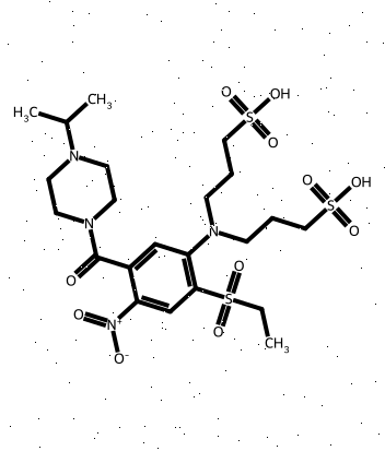 CCS(=O)(=O)c1cc([N+](=O)[O-])c(C(=O)N2CCN(C(C)C)CC2)cc1N(CCCS(=O)(=O)O)CCCS(=O)(=O)O